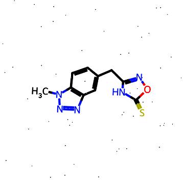 Cn1nnc2cc(Cc3noc(=S)[nH]3)ccc21